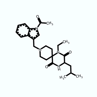 CCN1C(=O)C(CC(C)C)NC(=O)C12CCN(Cc1cn(C(C)=O)c3ccccc13)CC2